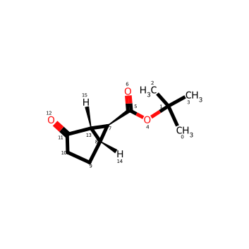 CC(C)(C)OC(=O)[C@H]1[C@@H]2CCC(=O)[C@@H]21